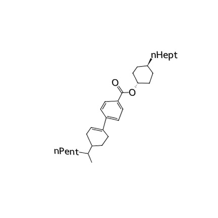 CCCCCCC[C@H]1CC[C@H](OC(=O)c2ccc(C3=CCC(C(C)CCCCC)CC3)cc2)CC1